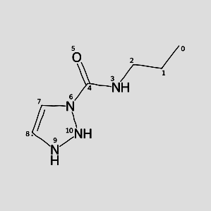 CCCNC(=O)N1C=[C]NN1